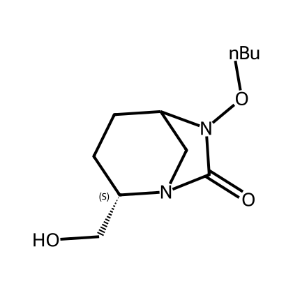 CCCCON1C(=O)N2CC1CC[C@H]2CO